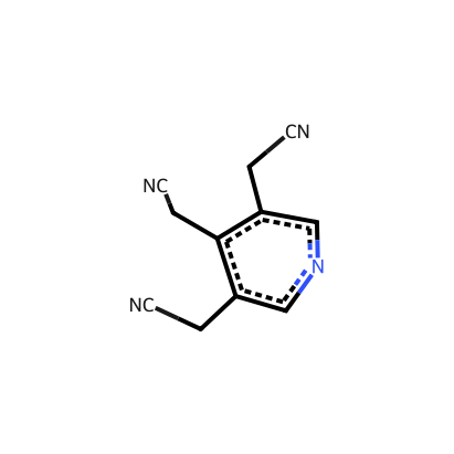 N#CCc1cncc(CC#N)c1CC#N